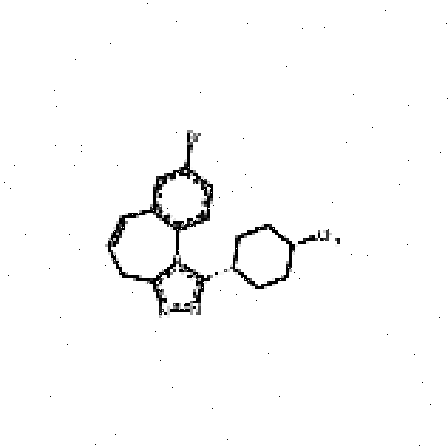 FC(F)(F)[C@H]1CC[C@H](c2nnc3n2-c2ccc(Br)cc2C=CC3)CC1